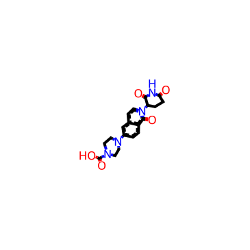 O=C1CCC(n2ccc3cc(N4CCN(C(=O)O)CC4)ccc3c2=O)C(=O)N1